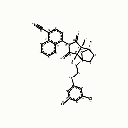 C[C@]12CC[C@](CCOc3cc(Cl)cc(Cl)c3)(O1)[C@@H]1C(=O)N(c3ccc(C#N)c4ccccc34)C(=O)[C@@H]12